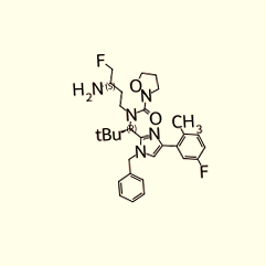 Cc1ccc(F)cc1-c1cn(Cc2ccccc2)c([C@H](N(CC[C@H](N)CF)C(=O)N2CCCO2)C(C)(C)C)n1